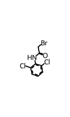 O=C(CBr)Nc1c(Cl)cccc1Cl